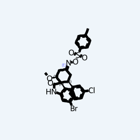 CO[C@H]1C/C(=N/OS(=O)(=O)c2ccc(C)cc2)C[C@@H](c2cccc(Cl)c2)[C@]12C(=O)Nc1cc(Br)ccc12